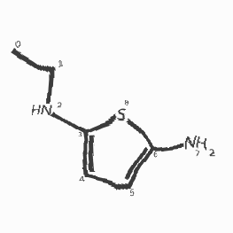 CCNc1ccc(N)s1